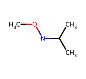 CO[N]C(C)C